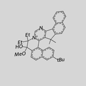 CCC1(CC)[n+]2cnc3c(c2-c2c(ccc4cc(C(C)(C)C)ccc24)C1(O)OC)C(C)(C)c1ccc2ccccc2c1-3